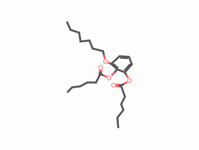 CCCCCCCOc1cccc(OC(=O)CCCCC)c1OC(=O)CCCCC